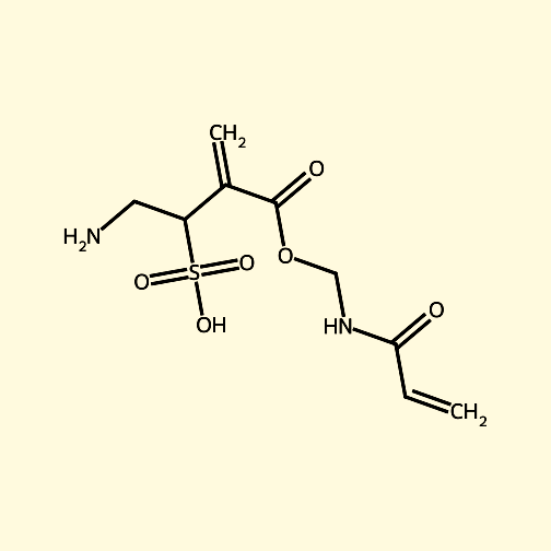 C=CC(=O)NCOC(=O)C(=C)C(CN)S(=O)(=O)O